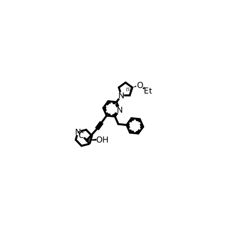 CCO[C@H]1CCN(c2ccc(C#C[C@@]3(O)CN4CCC3CC4)c(Cc3ccccc3)n2)C1